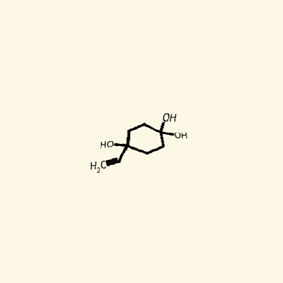 C=CC1(O)CCC(O)(O)CC1